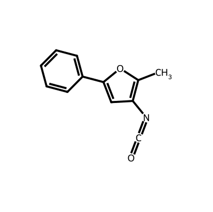 Cc1oc(-c2ccccc2)cc1N=C=O